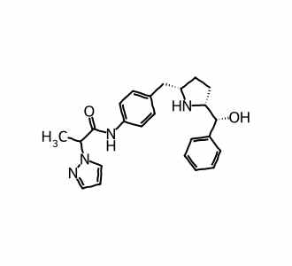 CC(C(=O)Nc1ccc(C[C@@H]2CC[C@H]([C@H](O)c3ccccc3)N2)cc1)n1cccn1